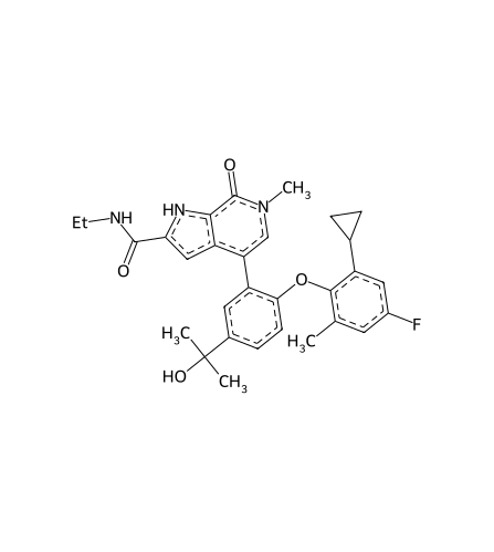 CCNC(=O)c1cc2c(-c3cc(C(C)(C)O)ccc3Oc3c(C)cc(F)cc3C3CC3)cn(C)c(=O)c2[nH]1